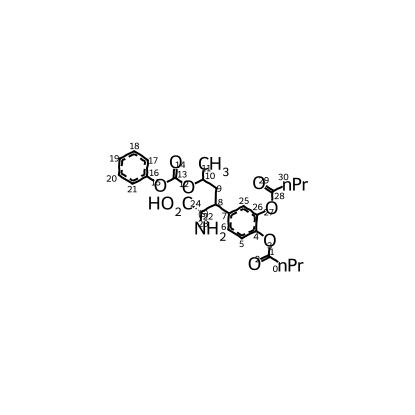 CCCC(=O)Oc1ccc(C(CC(C)OC(=O)Oc2ccccc2)[C@H](N)C(=O)O)cc1OC(=O)CCC